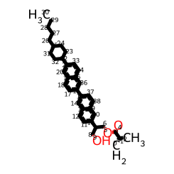 C=C(C)C(=O)OCC(CO)c1ccc2cc(-c3ccc4cc(C5CCC(CCCCC)CC5)ccc4c3)ccc2c1